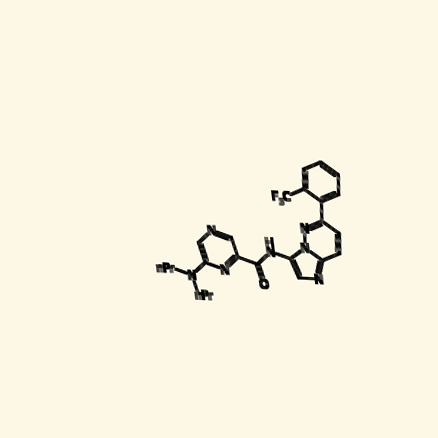 CCCN(CCC)c1cncc(C(=O)Nc2cnc3ccc(-c4ccccc4C(F)(F)F)nn23)n1